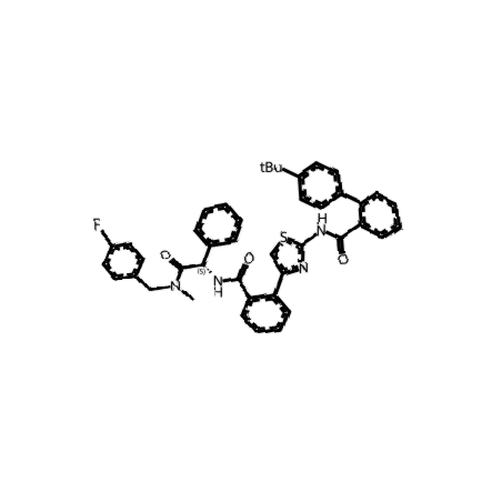 CN(Cc1ccc(F)cc1)C(=O)[C@@H](NC(=O)c1ccccc1-c1csc(NC(=O)c2ccccc2-c2ccc(C(C)(C)C)cc2)n1)c1ccccc1